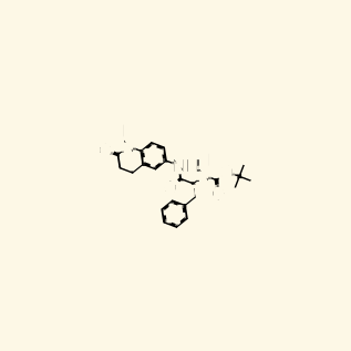 CC(C)(C)OC(=O)N[C@@H](Cc1ccccc1)C(=O)Nc1ccc2c(c1)CCC(=O)N2